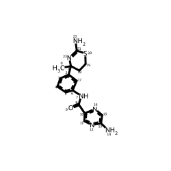 CC1(c2cccc(NC(=O)c3cnc(N)cn3)c2)CCSC(N)=N1